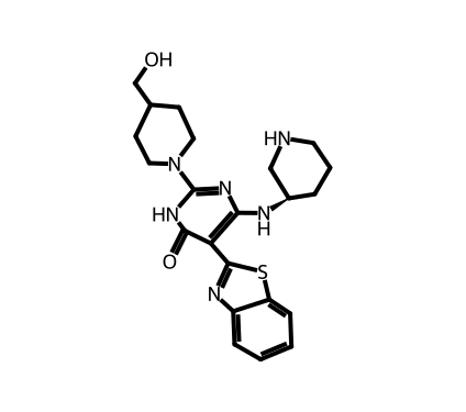 O=c1[nH]c(N2CCC(CO)CC2)nc(N[C@@H]2CCCNC2)c1-c1nc2ccccc2s1